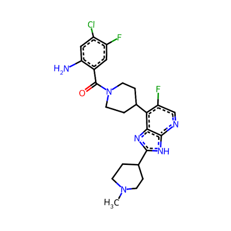 CN1CCC(c2nc3c(C4CCN(C(=O)c5cc(F)c(Cl)cc5N)CC4)c(F)cnc3[nH]2)CC1